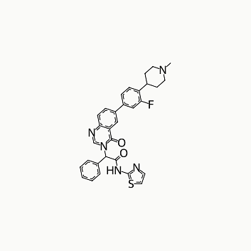 CN1CCC(c2ccc(-c3ccc4ncn(C(C(=O)Nc5nccs5)c5ccccc5)c(=O)c4c3)cc2F)CC1